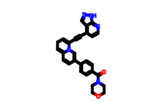 O=C(c1ccc(C2=CN3C(C#Cc4ccnc5[nH]ncc45)=CCC=C3C=C2)cc1)N1CCOCC1